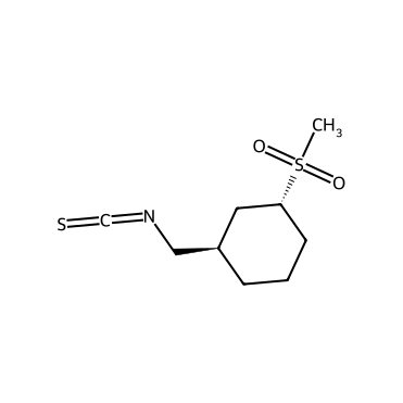 CS(=O)(=O)[C@@H]1CCC[C@@H](CN=C=S)C1